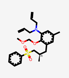 C=CCN(CC=C)c1cc(C)cc(C[C@@H](C)CS(=O)(=O)c2ccccc2)c1OCOC